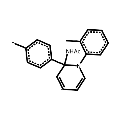 CC(=O)NC1(c2ccc(F)cc2)C=[C]C=CN1c1ccccc1C